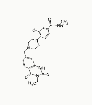 CCn1c(=O)[nH]c2cc(CN3CCN(c4ccc(C(=O)NC)cc4Cl)CC3)ccc2c1=O